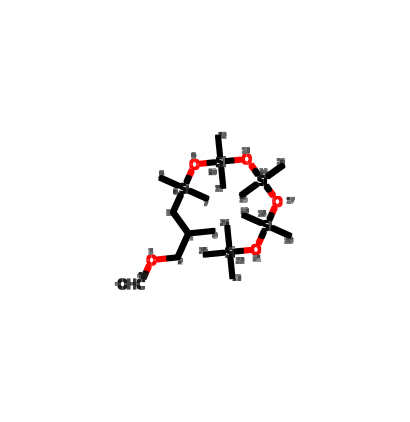 CC(CO[C]=O)C[Si](C)(C)O[Si](C)(C)O[Si](C)(C)O[Si](C)(C)O[Si](C)(C)C